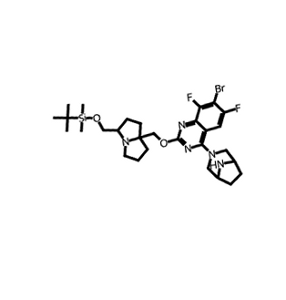 CC(C)(C)[Si](C)(C)OCC1CCC2(COc3nc(N4CC5CCC(C4)N5)c4cc(F)c(Br)c(F)c4n3)CCCN12